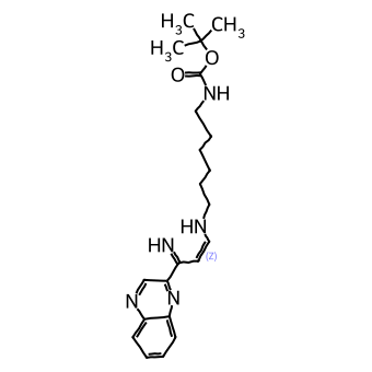 CC(C)(C)OC(=O)NCCCCCCN/C=C\C(=N)c1cnc2ccccc2n1